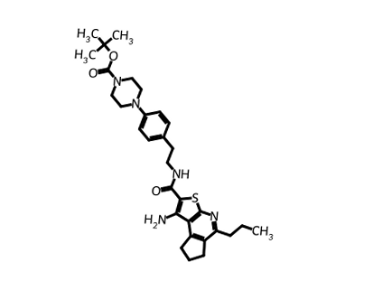 CCCc1nc2sc(C(=O)NCCc3ccc(N4CCN(C(=O)OC(C)(C)C)CC4)cc3)c(N)c2c2c1CCC2